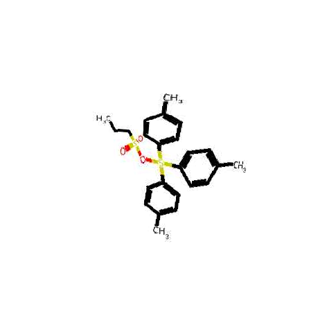 CCCS(=O)(=O)OS(c1ccc(C)cc1)(c1ccc(C)cc1)c1ccc(C)cc1